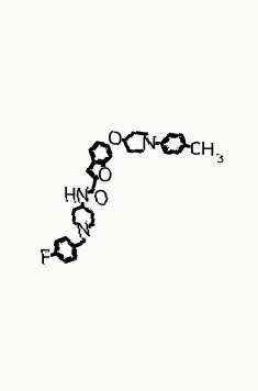 Cc1ccc(N2CCC(Oc3ccc4cc(C(=O)NC5CCN(Cc6ccc(F)cc6)CC5)oc4c3)CC2)cc1